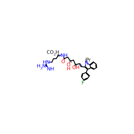 CC(C)n1c(/C=C/[C@H](O)C[C@H](O)CC(=O)N[C@@H](CCCNC(=N)N)C(=O)O)c(-c2ccc(F)cc2)c2ccccc21